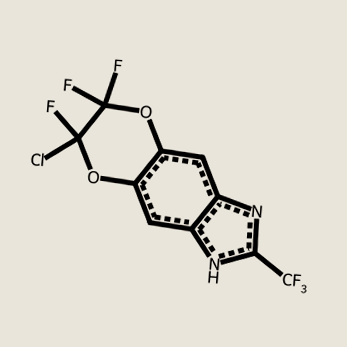 FC(F)(F)c1nc2cc3c(cc2[nH]1)OC(F)(Cl)C(F)(F)O3